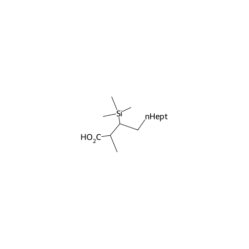 CCCCCCCCC(C(C)C(=O)O)[Si](C)(C)C